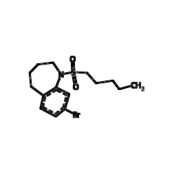 CCCCCS(=O)(=O)N1CCCCc2ccc(Br)cc21